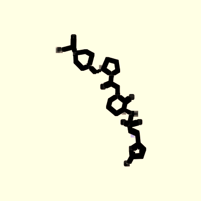 CC(C)C(=O)N1CCN(C[C@@H]2CCCN2C(=O)CN2CCC[C@H](NS(=O)(=O)/C=C/c3ccc(Cl)s3)C2=O)CC1